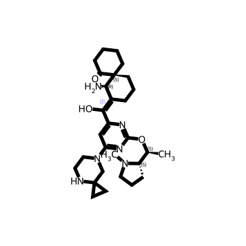 C[C@H](Oc1nc(/C(O)=C2\CCC[C@@]3(CCCCC3=O)[C@@H]2N)cc(N2CCNC3(CC3)C2)n1)[C@@H]1CCCN1C